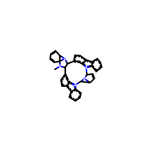 CN1C2c3ccc4c5ccccc5n(c4c3)C3C4C=CC(N43)n3c4ccccc4c4ccc(cc43)C2N2C3C=CC=CC312